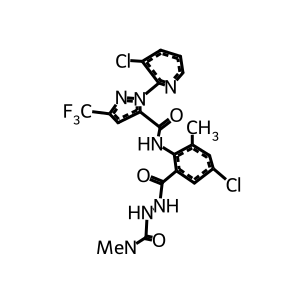 CNC(=O)NNC(=O)c1cc(Cl)cc(C)c1NC(=O)c1cc(C(F)(F)F)nn1-c1ncccc1Cl